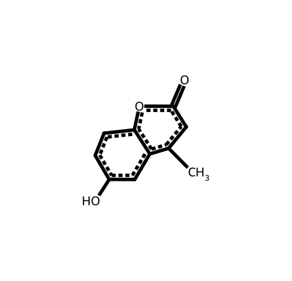 Cc1cc(=O)oc2ccc(O)cc12